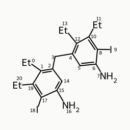 CCc1c(Cc2cc(N)c(I)c(CC)c2CC)cc(N)c(I)c1CC